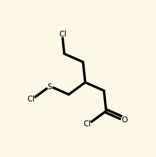 O=C(Cl)CC(CCCl)CSCl